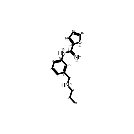 CCCNCc1cccc(NC(=N)c2cccs2)c1